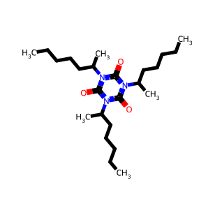 CCCCCC(C)n1c(=O)n(C(C)CCCCC)c(=O)n(C(C)CCCCC)c1=O